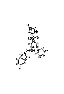 Cc1ccc2sc(CN[C@H]3CN(S(=O)(=O)c4cn(C)cn4)C[C@@H]3c3ccccc3)cc2c1